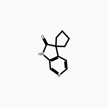 O=C1Nc2cnccc2C12CCCC2